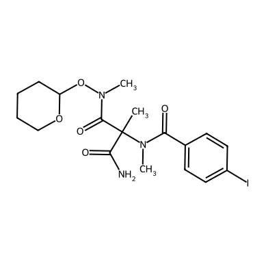 CN(OC1CCCCO1)C(=O)C(C)(C(N)=O)N(C)C(=O)c1ccc(I)cc1